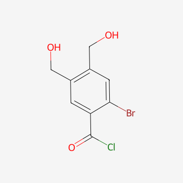 O=C(Cl)c1cc(CO)c(CO)cc1Br